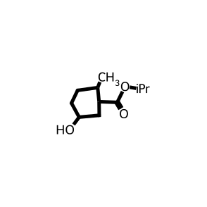 CC(C)OC(=O)C1CC(O)CCC1C